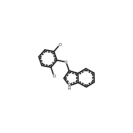 Clc1cccc(Cl)c1Oc1c[nH]c2ccccc12